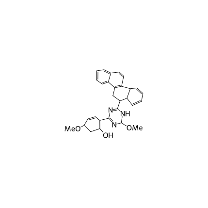 COC1C=CC(C2=NC(OC)NC(C3Cc4c(ccc5ccccc45)C4C=CC=CC34)=N2)C(O)C1